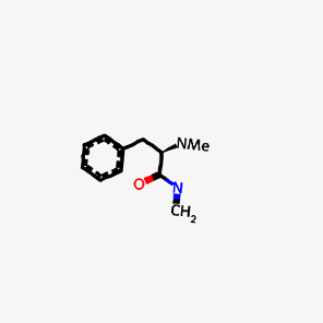 C=NC(=O)[C@@H](Cc1ccccc1)NC